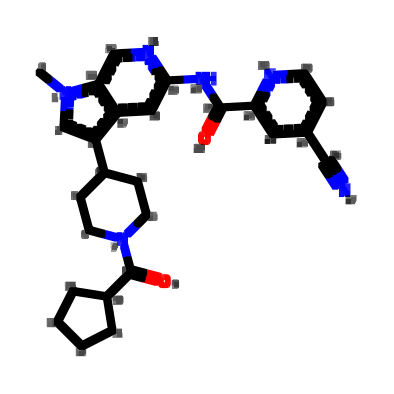 Cn1cc(C2CCN(C(=O)C3CCCC3)CC2)c2cc(NC(=O)c3cc(C#N)ccn3)ncc21